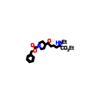 CCNC(CCCC(=O)C1CCN(C(=O)OCc2ccccc2)CC1)C(=O)OCC